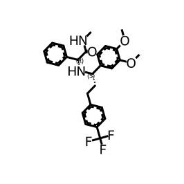 CNC(=O)[C@H](N[C@@H](CCc1ccc(C(F)(F)F)cc1)c1ccc(OC)c(OC)c1)c1ccccc1